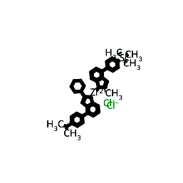 CC1=Cc2c(-c3ccc([Si](C)(C)C)cc3)cccc2[CH]1[Zr+2][CH]1C(C2CCCCC2)=Cc2c(-c3ccc(C(C)C)cc3)cccc21.[Cl-].[Cl-]